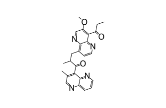 CCC(=O)c1c(OC)cnc2c(CC(C)C(=O)c3c(C)cnc4cccnc34)ccnc12